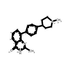 Cc1nc2c(-c3ccc(C4CCN(C)CC4)cc3)cccc2c(=O)[nH]1